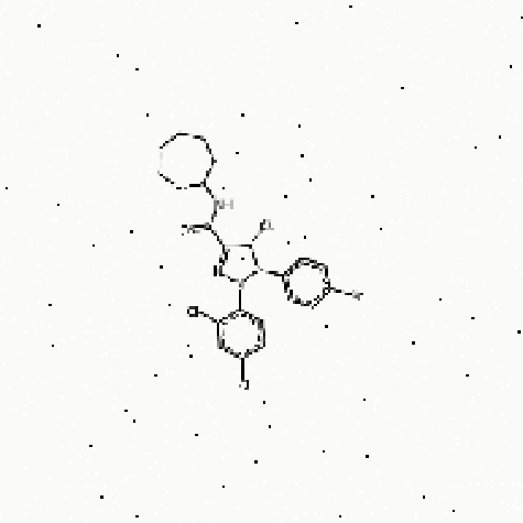 CC[C@H]1C(C(=O)NC2CCCCCC2)=NN(c2ccc(Cl)cc2Cl)[C@@H]1c1ccc(Br)cc1